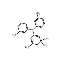 CC1=CC(P(c2cccc(C)c2)c2cccc(C)c2)=CC(C)(C)C1